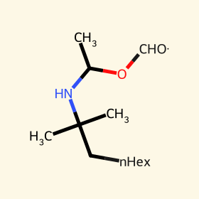 CCCCCCCC(C)(C)NC(C)O[C]=O